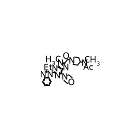 CCc1nc2ccccc2n1-c1nc(N2CCOCC2)c2nc(C(=O)N3CCC(N(C)C(C)=O)CC3)n(C)c2n1